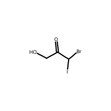 O=C(CO)C(Br)I